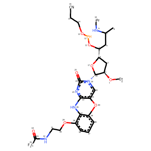 CCO[C@@H]1C[C@@H](C(CC(C)NC(C)C)OPOCCC#N)O[C@H]1n1cc2c(nc1=O)Nc1c(OCCNC(=O)C(F)(F)F)cccc1O2